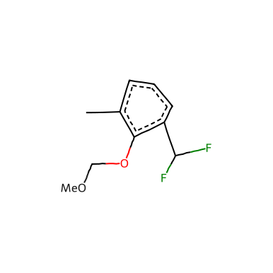 COCOc1c(C)cccc1C(F)F